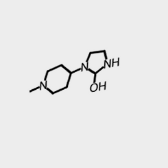 CN1CCC(N2CCNC2O)CC1